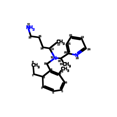 CCC1C=CC=CC(C)=C1CN(C(C)CCCN)C(C)c1ccccn1